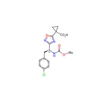 CC(C)(C)OC(=O)N[C@@H](Cc1ccc(Cl)cc1)c1noc(C2(C(=O)O)CC2)n1